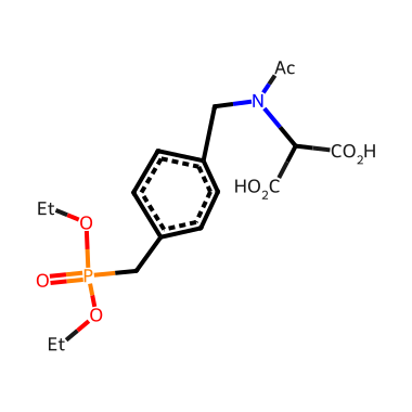 CCOP(=O)(Cc1ccc(CN(C(C)=O)C(C(=O)O)C(=O)O)cc1)OCC